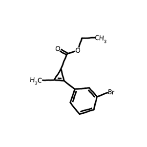 CCOC(=O)C1C(C)=C1c1cccc(Br)c1